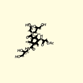 CC(=O)OCC(=O)Nc1c(I)c(C(=O)NCC(O)CO)c(I)c(C(=O)N(CCO)CC(O)CO)c1I